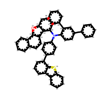 c1ccc(-c2ccc(N(c3ccc(-c4cccc5c4sc4ccccc45)cc3)c3cccc4oc5c6ccccc6ccc5c34)c(-c3ccccc3)c2)cc1